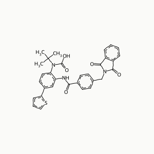 CC(C)(C)N(C(=O)O)c1ccc(-c2cccs2)cc1NC(=O)c1ccc(CN2C(=O)c3ccccc3C2=O)cc1